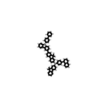 CC1(C)c2ccccc2-c2ccc(N(c3ccc(-c4cccc5ccccc45)cc3)c3ccc4c(c3)C(C)(C)c3cc(-c5ccc6c(c5)c5ccccc5n6-c5ccc(-c6ccccc6)cc5)ccc3-4)cc21